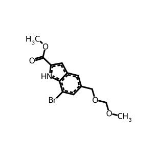 COCOCc1cc(Br)c2[nH]c(C(=O)OC)cc2c1